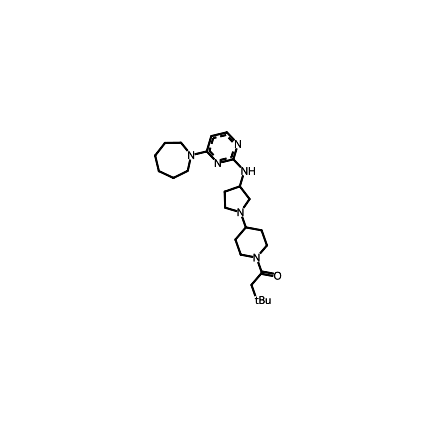 CC(C)(C)CC(=O)N1CCC(N2CCC(Nc3nccc(N4CCCCCC4)n3)C2)CC1